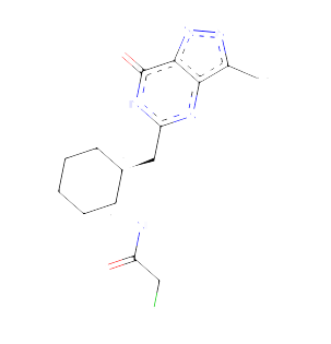 CC(C)c1n[nH]c2c(=O)[nH]c(C[C@@H]3CCCC[C@H]3NC(=O)CCl)nc12